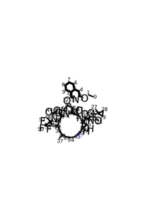 CCOc1cc2ccccc2c(O[C@@H]2C[C@H]3C(=O)N[C@]4(C(=O)NS(=O)(=O)C5(C)CC5)C[C@H]4/C=C\CC[C@@H](C)C[C@@H](C)[C@H](N(C(=O)O)C(C)(C)C(F)(F)F)C(=O)N3C2)n1